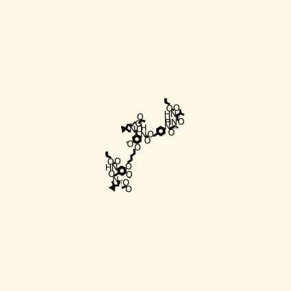 C=CCOC(=O)Nc1cc(OCCCCCOc2cc(NC(=O)OCc3ccc(NC(=O)[C@H](C)NC(=O)[C@@H](NC(=O)OCC=C)C(C)C)cc3)c(C(=O)N3CC4(CC4)C[C@H]3COC(C)=O)cc2OC)c(OC)cc1C(=O)N1CC2(CC2)C[C@H]1COC(C)=O